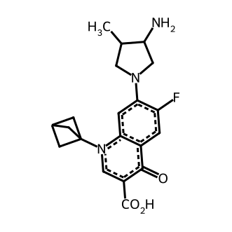 CC1CN(c2cc3c(cc2F)c(=O)c(C(=O)O)cn3C23CC(C2)C3)CC1N